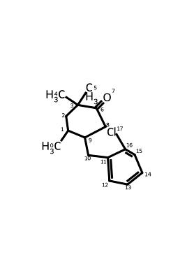 CC1CC(C)(C)C(=O)CC1Cc1ccccc1Cl